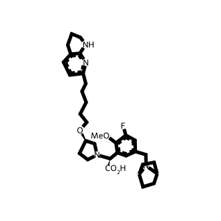 COc1c(F)cc(CN2C3CCC2CC3)cc1[C@H](C(=O)O)N1CC[C@@H](OCCCCCc2ccc3c(n2)NCCC3)C1